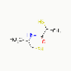 CC(S)C(=O)NC(CS)C(=O)O